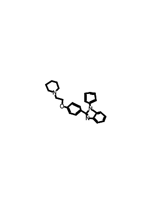 c1ccc(-n2c(-c3ccc(OCCN4CCCCC4)cc3)nc3ccccc32)cc1